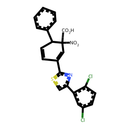 O=C(O)C1([N+](=O)[O-])C=C(c2nc(-c3cc(Cl)ccc3Cl)cs2)C=CC1c1ccccc1